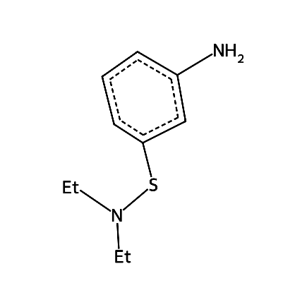 CCN(CC)Sc1cccc(N)c1